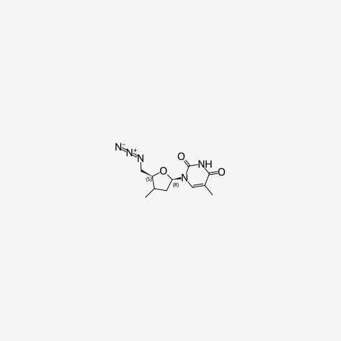 Cc1cn([C@H]2CC(C)[C@@H](CN=[N+]=[N-])O2)c(=O)[nH]c1=O